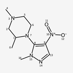 CC1CN(C)CCN1c1c([N+](=O)[O-])cnn1C